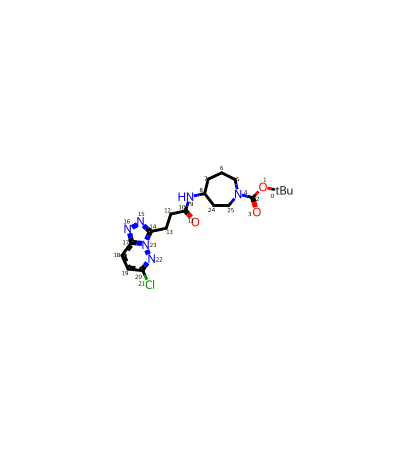 CC(C)(C)OC(=O)N1CCCC(NC(=O)CCc2nnc3ccc(Cl)nn23)CC1